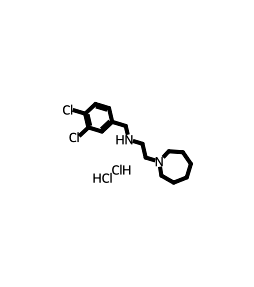 Cl.Cl.Clc1ccc(CNCCN2CCCCCC2)cc1Cl